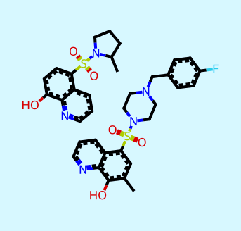 CC1CCCN1S(=O)(=O)c1ccc(O)c2ncccc12.Cc1cc(S(=O)(=O)N2CCN(Cc3ccc(F)cc3)CC2)c2cccnc2c1O